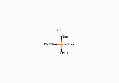 CCCCCCCCC[P+](CCCCCC)(CCCCCC)CCCCCCCCC.[Cl-]